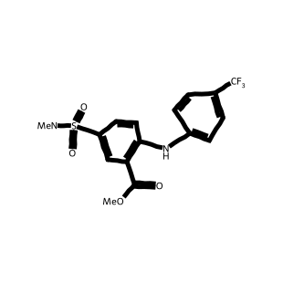 CNS(=O)(=O)c1ccc(Nc2ccc(C(F)(F)F)cc2)c(C(=O)OC)c1